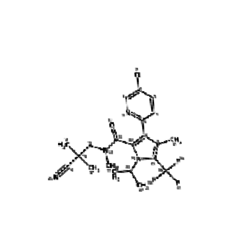 Cc1c(-c2ccc(Cl)cn2)c(C(=O)N(C)CC(C)(C)C#N)n(C(C)C)c1C(F)(F)F